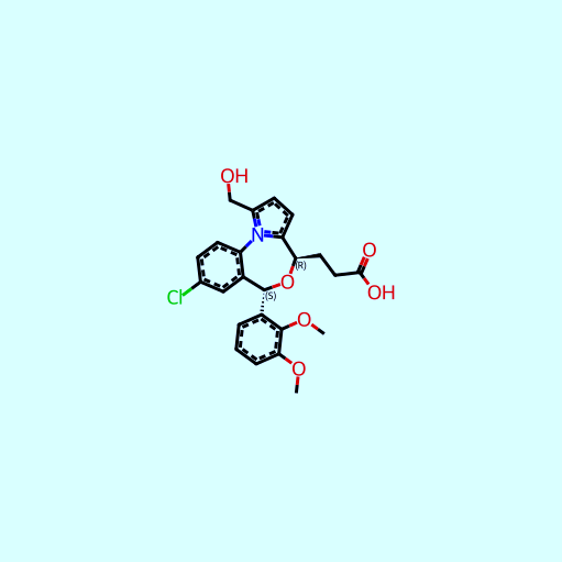 COc1cccc([C@H]2O[C@H](CCC(=O)O)c3ccc(CO)n3-c3ccc(Cl)cc32)c1OC